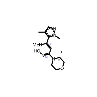 CN/C(=C\C(=N/O)N1CCOC[C@H]1C)c1c(C)cnn1C